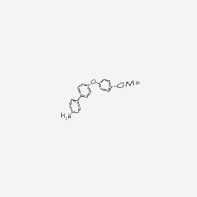 Bc1ccc(-c2ccc(Oc3ccc(OC)cc3)cc2)cc1